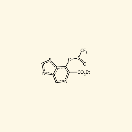 CCOC(=O)c1ncc2ncsc2c1OS(=O)C(F)(F)F